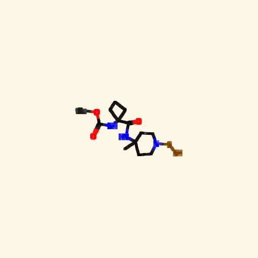 CC1(NC(=O)C2(NC(=O)OC(C)(C)C)CCC2)CCN(SS)CC1